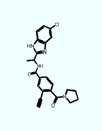 C#Cc1cc(C(=O)NC(C)c2nc3cc(Cl)ccc3[nH]2)ccc1C(=O)N1CCCC1